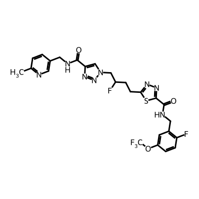 Cc1ccc(CNC(=O)c2cn(CC(F)CCc3nnc(C(=O)NCc4cc(OC(F)(F)F)ccc4F)s3)nn2)cn1